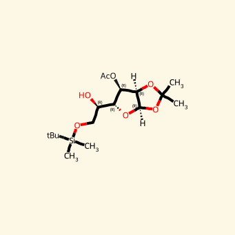 CC(=O)O[C@H]1[C@H]2OC(C)(C)O[C@H]2O[C@@H]1[C@H](O)CO[Si](C)(C)C(C)(C)C